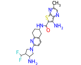 Cc1cnc2c(N)c(C(=O)NC3CCc4nc(N5CC(N)C(C(F)F)C5)ccc4C3)sc2n1